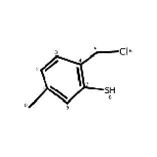 Cc1ccc(CCl)c(S)c1